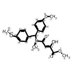 COC(=O)C(O)=CC(=O)N(C)C(c1ccc(OC)cc1)c1ccc(OC)cc1